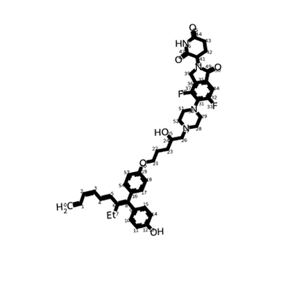 C=C\C=C/C=C/C(CC)=C(/c1ccc(O)cc1)c1ccc(OCCCC(O)CN2CCN(c3c(F)cc4c(c3F)CN(C3CCC(=O)NC3=O)C4=O)CC2)cc1